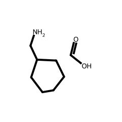 NCC1CCCCC1.O=CO